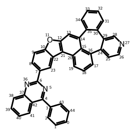 c1ccc(-c2nc(-c3ccc4oc5cc6c7c(cccc7c5c4c3)-c3ccncc3-c3ccccc3-6)nc3ccccc23)cc1